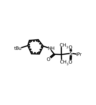 CC(C)S(=O)(=O)C(C)(C)C(=O)Nc1ccc(C(C)(C)C)cc1